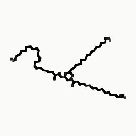 CCCCC/C=C\C/C=C\C/C=C\C/C=C\CCCCCC(=O)OC[C@@H](COC(=O)CCCCCCCCCCCCCCC)OC(=O)CCCCCCCCCCCCCCC